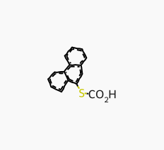 O=C(O)Sc1cc2ccccc2c2ccccc12